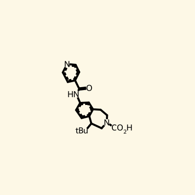 CC(C)(C)C1CN(C(=O)O)CCc2cc(NC(=O)c3ccncc3)ccc21